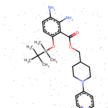 CC(C)(C)[Si](C)(C)Oc1ccc(N)c(N)c1C(=O)OCC1CCN(c2ccncc2)CC1